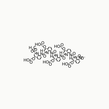 COC(=O)c1cc(OCC(=O)O)c2cccc(NC(=O)c3cc(OCC(=O)O)c4cccc(NC(=O)c5cc(OCC(=O)O)c6cccc(NC(=O)c7cc(OCC(=O)O)c8cccc(NC(=O)c9cc(OCC(=O)O)c%10cccc([N+](=O)[O-])c%10n9)c8n7)c6n5)c4n3)c2n1